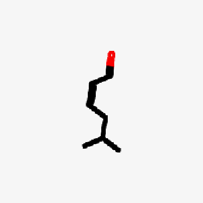 CC(C)C/C=C\C=O